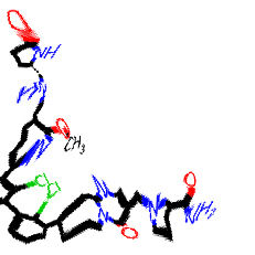 COc1nc(-c2cccc(-c3cccc(-c4ccn5c(=O)c(CN6CCC6C(N)=O)cnc5c4)c3Cl)c2Cl)ccc1CNC[C@@H]1CCC(=O)N1